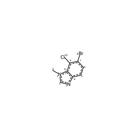 Cn1cnc2ccc(Br)c(Cl)c21